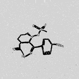 CNc1ccc(-c2n[nH]c(=O)c3c2N(OS(C)(=O)=O)CCC3)cc1